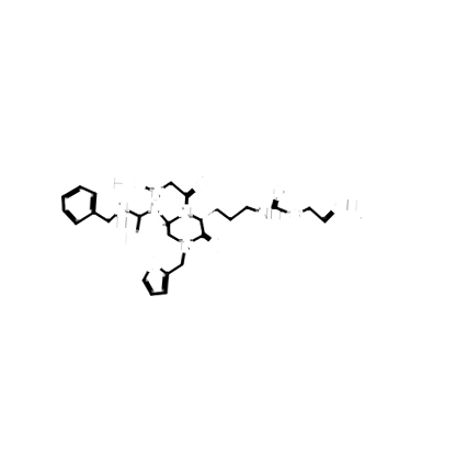 C=CCOC(=O)NCCC[C@H]1C(=O)N(Cc2ccco2)C[C@H]2N1C(=O)CN(C)N2C(O)NCc1ccccc1